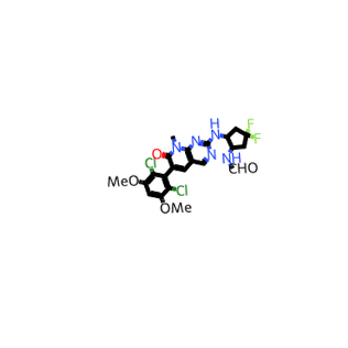 COc1cc(OC)c(Cl)c(-c2cc3cnc(NC4CC(F)(F)CC4NC=O)nc3n(C)c2=O)c1Cl